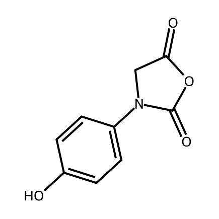 O=C1CN(c2ccc(O)cc2)C(=O)O1